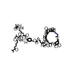 COc1cc2cc(c1Cl)N(C)C(=O)C[C@H](OC(=O)[C@H](C)N(C)C(=O)CCN(C)C(=O)OCc1ccc(NC(=O)[C@H](CCCCNC(N)=O)NC(=O)[C@@H](NC(=O)CCCCC(=O)C(C)C)C(C)C)cc1)[C@]1(C)O[C@H]1[C@H](C)[C@@H]1C[C@@](O)(NC(=O)O1)[C@H](OC)/C=C/C=C(\C)C2